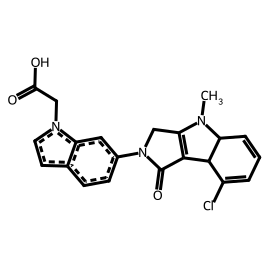 CN1C2=C(C(=O)N(c3ccc4ccn(CC(=O)O)c4c3)C2)C2C(Cl)=CC=CC21